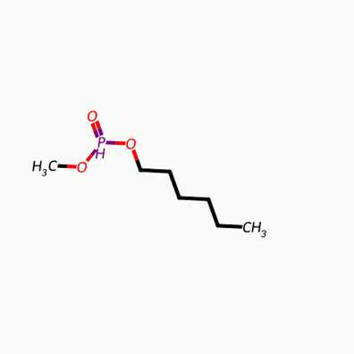 CCCCCCO[PH](=O)OC